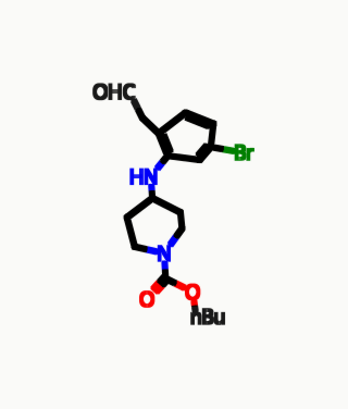 CCCCOC(=O)N1CCC(Nc2cc(Br)ccc2CC=O)CC1